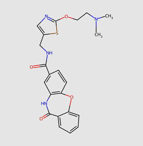 CN(C)CCOc1ncc(CNC(=O)c2ccc3c(c2)NC(=O)c2ccccc2O3)s1